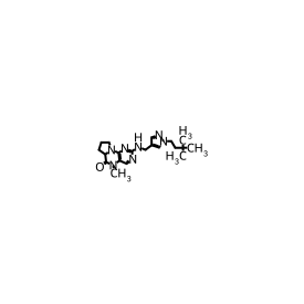 CN1C(=O)C2CCCN2c2nc(NCc3cnn(CCC(C)(C)C)c3)ncc21